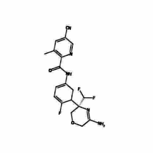 Cc1cc(C#N)cnc1C(=O)NC1=CC=C(F)C([C@]2(C(F)F)COCC(N)=N2)C1